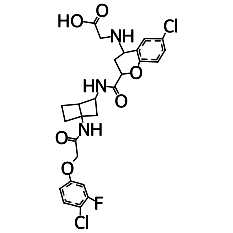 O=C(O)CNC1CC(C(=O)NC2CC3(NC(=O)COc4ccc(Cl)c(F)c4)CCC23)Oc2ccc(Cl)cc21